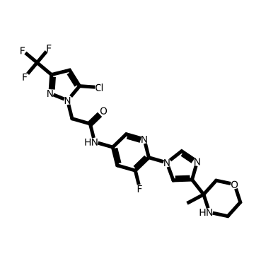 CC1(c2cn(-c3ncc(NC(=O)Cn4nc(C(F)(F)F)cc4Cl)cc3F)cn2)COCCN1